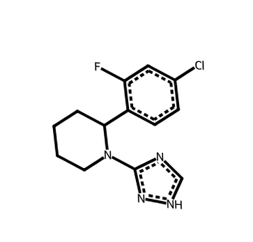 Fc1cc(Cl)ccc1C1CCCCN1c1nc[nH]n1